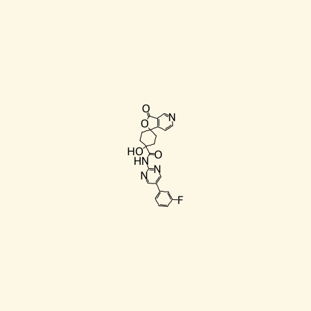 O=C1OC2(CCC(O)(C(=O)Nc3ncc(-c4cccc(F)c4)cn3)CC2)c2ccncc21